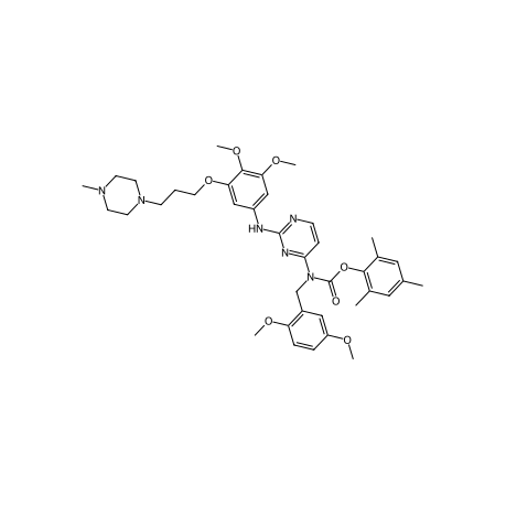 COc1ccc(OC)c(CN(C(=O)Oc2c(C)cc(C)cc2C)c2ccnc(Nc3cc(OC)c(OC)c(OCCCN4CCN(C)CC4)c3)n2)c1